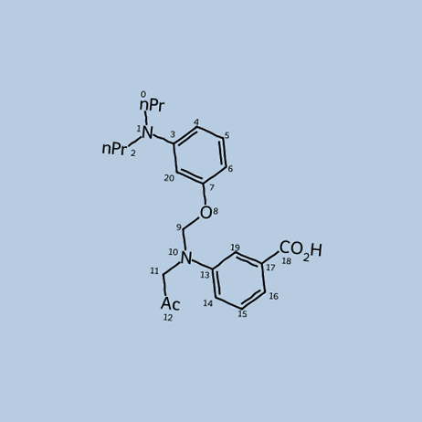 CCCN(CCC)c1cccc(OCN(CC(C)=O)c2cccc(C(=O)O)c2)c1